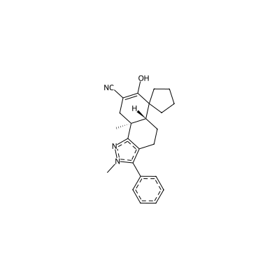 Cn1nc2c(c1-c1ccccc1)CC[C@H]1C3(CCCC3)C(O)=C(C#N)C[C@]21C